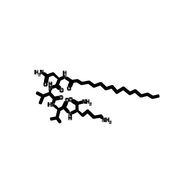 CCCCCCCCCCCCCCCC(=O)N[C@H](CC(N)=O)C(=O)N[C@@H](C(=O)N[C@@H](C(=O)N[C@H](CCCCN)C(N)=O)C(C)C)C(C)C